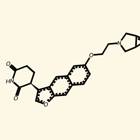 O=C1CC[C@@H](c2coc3cc4ccc(OCCN5CC6=CC6C5)cc4cc23)C(=O)N1